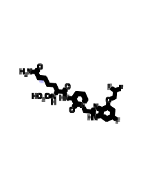 NC(=O)/C=C/CCC(NC(=O)O)C(=O)Nc1cccn(Cc2nc3c(OCC(F)F)cc(F)cc3[nH]2)c1=O